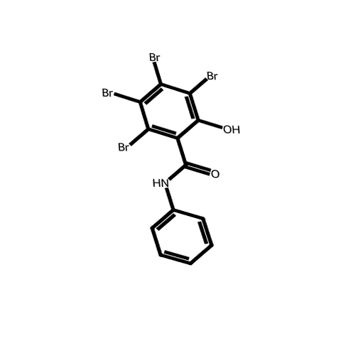 O=C(Nc1ccccc1)c1c(O)c(Br)c(Br)c(Br)c1Br